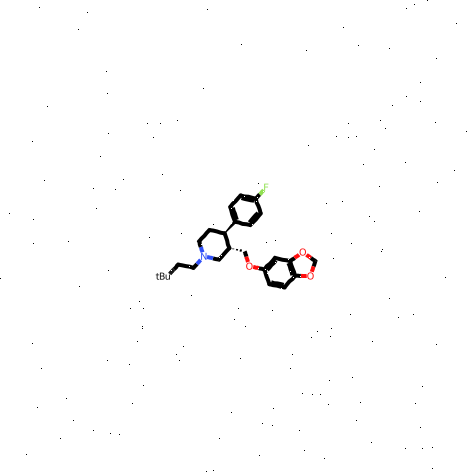 CC(C)(C)CCN1CC[C@@H](c2ccc(F)cc2)[C@H](COc2ccc3c(c2)OCO3)C1